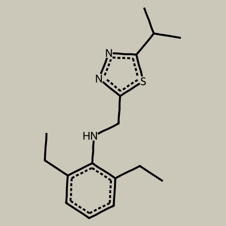 CCc1cccc(CC)c1NCc1nnc(C(C)C)s1